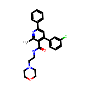 Cc1nc(-c2ccccc2)cc(-c2cccc(Cl)c2)c1C(=O)NCCN1CCOCC1